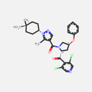 Cc1c(C(=O)N2C[C@@H](Oc3ccccc3)C[C@@H]2C(=O)c2c(Cl)cncc2Cl)cnn1[C@H]1CC[C@](C)(C(=O)O)CC1